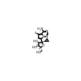 Nc1ncnn2c([C@]3(C4CC4)O[C@H](CO)[C@@H](O)[C@H]3O)cc(F)c12